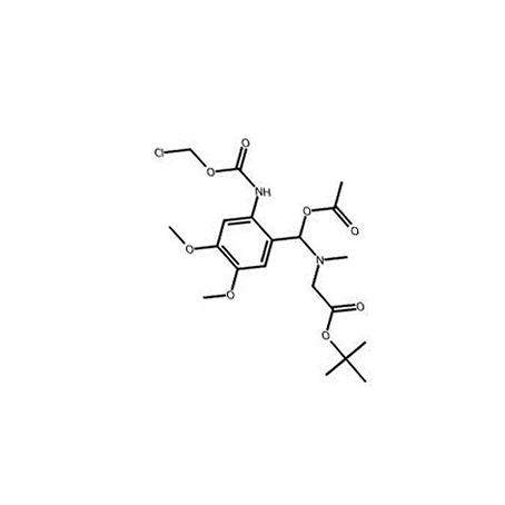 COc1cc(NC(=O)OCCl)c(C(OC(C)=O)N(C)CC(=O)OC(C)(C)C)cc1OC